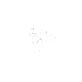 Cc1ccccc1-c1c(C(C)C)ccc2c1C=C(CC(C)C)[CH]2[Zr]([Cl])([Cl])([CH]1C(CC(C)C)=Cc2c1ccc(C(C)C)c2-c1ccccc1C)[SiH](C)C